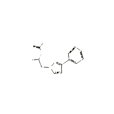 CC(Cn1ccc(-c2ccccc2)n1)NC(=O)O